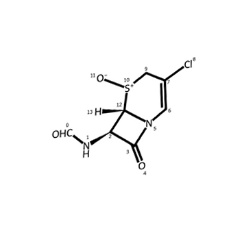 O=CN[C@@H]1C(=O)N2C=C(Cl)C[S+]([O-])[C@@H]12